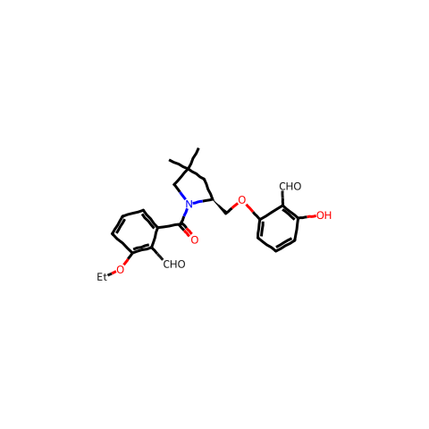 CCOc1cccc(C(=O)N2CC(C)(C)C[C@H]2COc2cccc(O)c2C=O)c1C=O